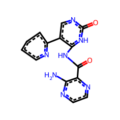 Nc1nccnc1C(=O)Nc1[nH]c(=O)ncc1-c1ccccn1